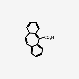 O=C(O)C1=C2C=CC=CC2C=Cc2ccccc21